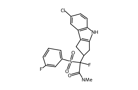 CNC(=O)C(F)(C1Cc2[nH]c3ccc(Cl)cc3c2C1)S(=O)(=O)c1cccc(F)c1